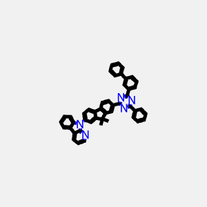 CC1(C)c2cc(-c3nc(-c4ccccc4)nc(-c4cccc(-c5ccccc5)c4)n3)ccc2-c2ccc(-n3c4ccccc4c4cccnc43)cc21